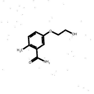 Cc1ccc(OCCO)cc1C(N)=O